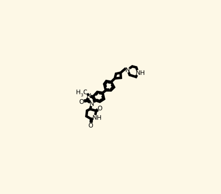 Cn1c(=O)n(C2CCC(=O)NC2=O)c2ccc(-c3ccc(C4CC(CN5CCNCC5)C4)cc3)cc21